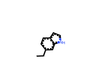 C[CH]c1ccc2cc[nH]c2c1